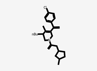 C=C(C1=C(C)C(CCCC)CN(C(=C)CC2CCC(C)C2)C1)c1ccc(Cl)cc1